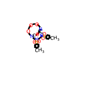 Cc1ccc(S(=O)(=O)N2CCN3CCOCCOCCOCCN(CCOCC3)CCN(S(=O)(=O)c3ccc(C)cc3)CC2)cc1